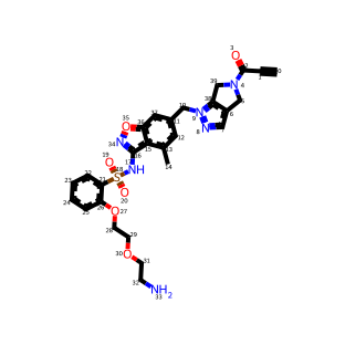 C#CC(=O)N1Cc2cnn(Cc3cc(C)c4c(NS(=O)(=O)c5ccccc5OCCOCCN)noc4c3)c2C1